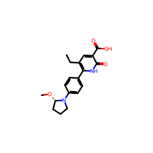 CCc1cc(C(=O)O)c(=O)[nH]c1-c1ccc(N2CCC[C@@H]2OC)cc1